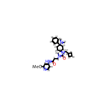 COc1cc(NC(=O)CCN2C[C@]3(CC[C@](c4ccccc4)(N(C)C)CC3)N(CC3CCC3)C2=O)ccn1